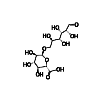 O=C[C@H](O)[C@@H](O)[C@H](O)[C@H](O)CO[C@H]1O[C@H](C(=O)O)[C@@H](O)[C@H](O)[C@H]1O